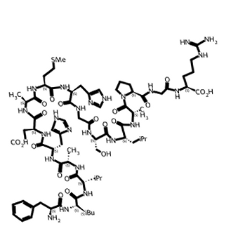 CC[C@H](C)[C@H](NC(=O)[C@@H](N)Cc1ccccc1)C(=O)N[C@H](C(=O)N[C@@H](C)C(=O)N[C@@H](Cc1c[nH]cn1)C(=O)N[C@@H](CC(=O)O)C(=O)N[C@@H](C)C(=O)N[C@@H](CCSC)C(=O)N[C@@H](Cc1c[nH]cn1)C(=O)NCC(=O)N[C@@H](CO)C(=O)N[C@@H](CC(C)C)C(=O)N[C@@H](C)C(=O)N1CCC[C@H]1C(=O)NCC(=O)N[C@@H](CCCNC(=N)N)C(=O)O)C(C)C